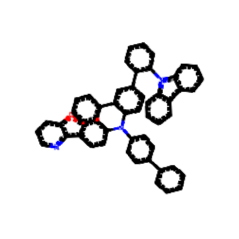 c1ccc(-c2ccc(N(c3ccc4c(c3)oc3cccnc34)c3ccc(-c4ccccc4-n4c5ccccc5c5ccccc54)cc3-c3ccccc3)cc2)cc1